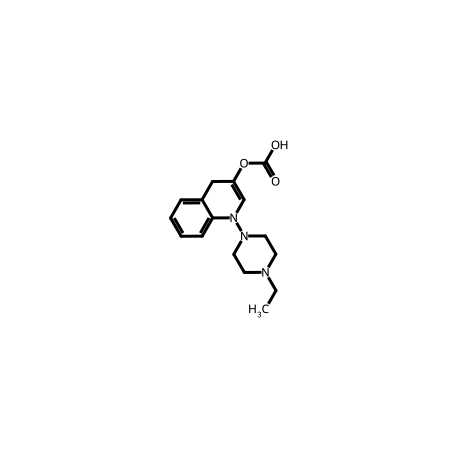 CCN1CCN(N2C=C(OC(=O)O)Cc3ccccc32)CC1